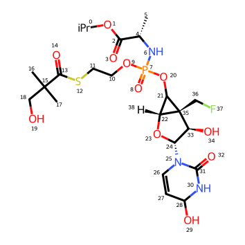 CC(C)OC(=O)[C@H](C)NP(=O)(OCCSC(=O)C(C)(C)CO)OC1[C@H]2O[C@@H](N3C=CC(O)NC3=O)[C@H](O)[C@@]12CF